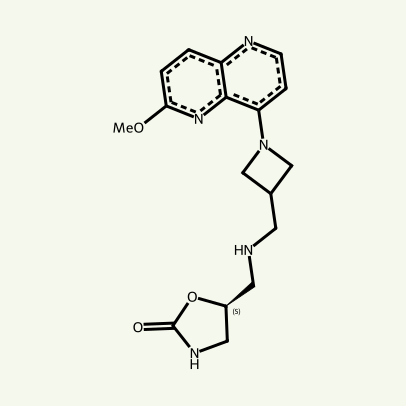 COc1ccc2nccc(N3CC(CNC[C@H]4CNC(=O)O4)C3)c2n1